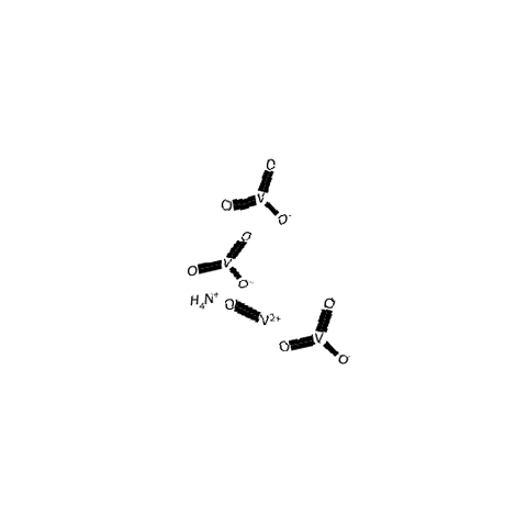 [NH4+].[O]=[V+2].[O]=[V](=[O])[O-].[O]=[V](=[O])[O-].[O]=[V](=[O])[O-]